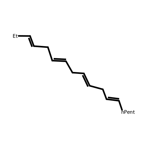 CCC=CCC=CCC=CCC=CCCCCC